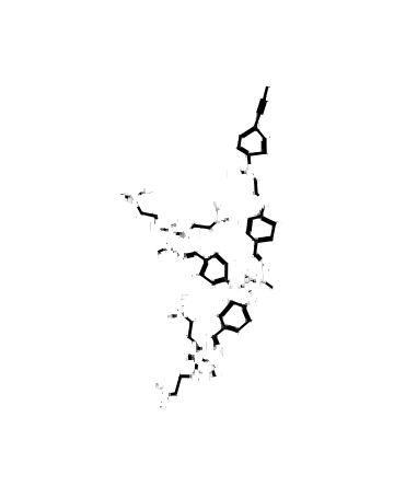 CC#Cc1ccc(N(CC)CCOc2ccc(/C=N/N(C)P(=S)(Oc3ccc(/C=N/N(C)P(=S)(NCCN(CC)CC)NCCN(CC)CC)cc3)Oc3ccc(/C=N/N(C)P(=S)(NCCN(CC)CC)NCCN(CC)CC)cc3)cc2)cc1